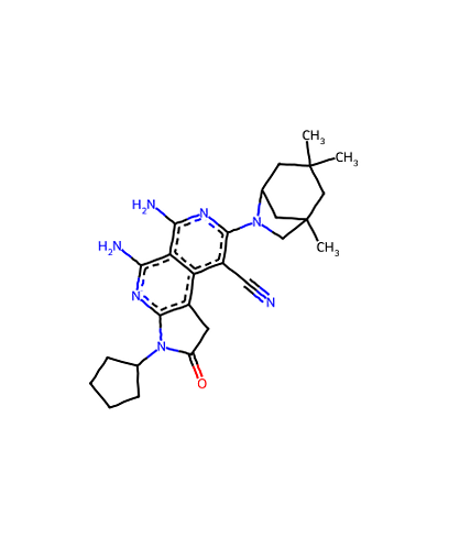 CC1(C)CC2CC(C)(CN2c2nc(N)c3c(N)nc4c(c3c2C#N)CC(=O)N4C2CCCC2)C1